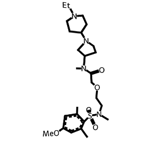 CCN1CCC(N2CCC(N(C)C(=O)COCCN(C)S(=O)(=O)c3c(C)cc(OC)cc3C)C2)CC1